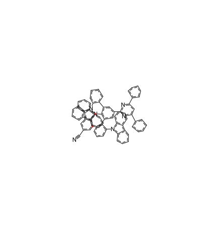 N#Cc1ccc2c(c1)c1ccccc1n2-c1c(-c2ccccc2-n2c3ccccc3c3ccccc32)cc(-c2nc(-c3ccccc3)cc(-c3ccccc3)n2)cc1-c1ccccc1-n1c2ccccc2c2ccccc21